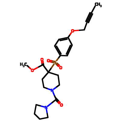 CC#CCOc1ccc(S(=O)(=O)C2(C(=O)OC)CCN(C(=O)N3CCCC3)CC2)cc1